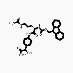 COC(=O)C(O)c1ccc(NC(=O)[C@H](CCCNC(N)=O)NC(=O)OCC2c3ccccc3-c3ccccc32)cc1